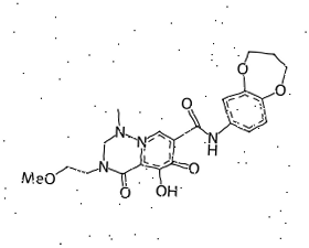 COCCN1CN(C)n2cc(C(=O)Nc3ccc4c(c3)OCCCO4)c(=O)c(O)c2C1=O